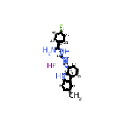 Cc1ccc2[nH]c3c(c2c1)CCCC3=NN=CNC(N)c1ccc(F)cc1.I